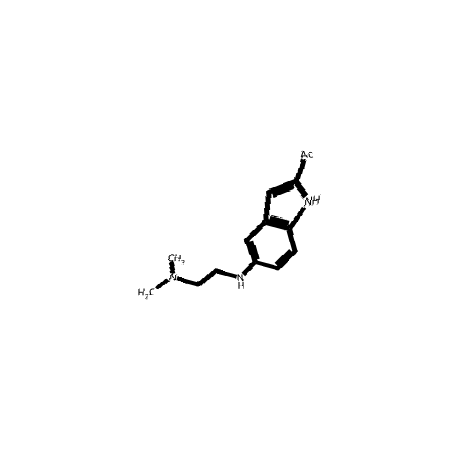 CC(=O)c1cc2cc(NCCN(C)C)ccc2[nH]1